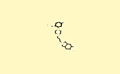 CC(C)Oc1ccc(F)cc1N1CCN(CCCN2C(=O)C3CC(O)C(F)CC3C2=O)CC1